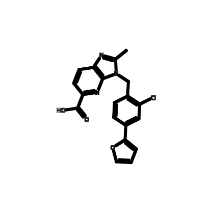 Cc1nc2ccc(C(=O)O)nc2n1Cc1ccc(-c2ccco2)cc1Cl